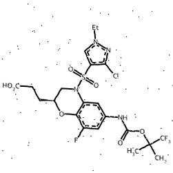 CCn1cc(S(=O)(=O)N2C[C@H](CCC(=O)O)Oc3c(F)cc(NC(=O)OC(C)(C)C(F)(F)F)cc32)c(Cl)n1